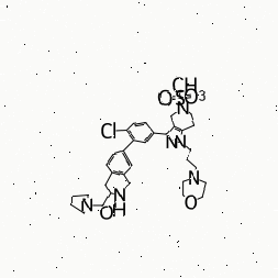 CS(=O)(=O)N1CCc2c(c(-c3ccc(Cl)c(-c4ccc5c(c4)CNC(C(=O)N4CCCC4)C5)c3)nn2CCCN2CCOCC2)C1